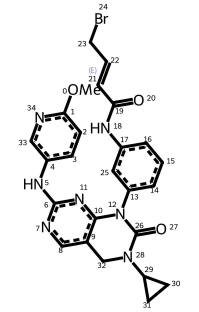 COc1ccc(Nc2ncc3c(n2)N(c2cccc(NC(=O)/C=C/CBr)c2)C(=O)N(C2CC2)C3)cn1